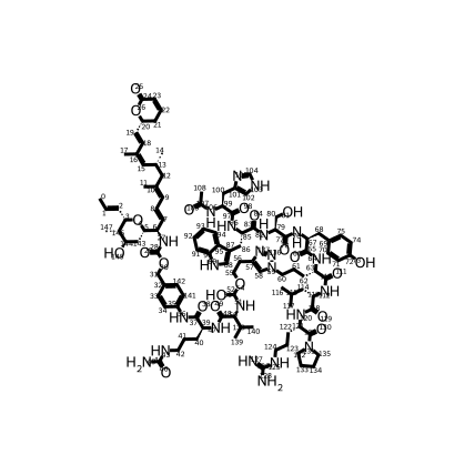 C/C=C/[C@@H]1O[C@H]([C@@H](/C=C/C=C(\C)C[C@@H](C)/C=C(C)\C=C\[C@H]2CC=CC(=O)O2)NC(=O)OCc2ccc(NC(=O)[C@H](CCCNC(N)=O)NC(=O)[C@@H](NC(O)OCCc3cn(CCC[C@H](NC(=O)[C@H](Cc4ccc(O)cc4)NC(=O)[C@H](CO)NC(=O)[C@H](Cc4c[nH]c5ccccc45)NC(=O)[C@H](Cc4c[nH]cn4)NC(C)=O)C(=O)N[C@@H](CC(C)C)C(=O)N[C@@H](CCCNC(=N)N)C(=O)N4CCCC4)nn3)C(C)C)cc2)C[C@@H](O)[C@@H]1C